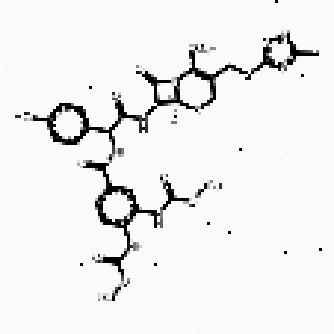 Cc1nnc(SCC2=C(C(=O)O)N3C(=O)C(NC(=O)C(NC(=O)c4ccc(NC(=O)OC(C)(C)C)c(NC(=O)OC(C)(C)C)c4)c4ccc(O)cc4)[C@@H]3SC2)s1